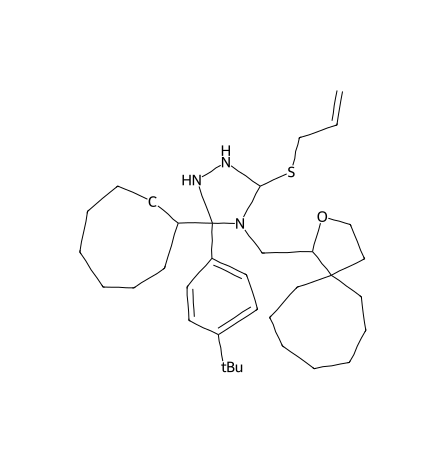 C=CCSC1NNC(c2ccc(C(C)(C)C)cc2)(C2CCCCCCC2)N1CC1OCCC12CCCCCCC2